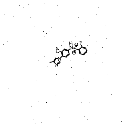 COc1cc(NS(=O)(=O)c2ccccc2F)ccc1-n1cnc(C)c1